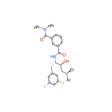 CCCN(CCC)C(=O)c1cccc(C(=O)N[C@@H](Cc2cc(F)cc(F)c2)[C@@H](O)C[C@@H](CC)C(C)=O)c1